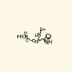 O=C(/C=C/c1ccc2c(c1)CCC2N(CCNCCO)CCc1c[nH]c2ccccc12)NO